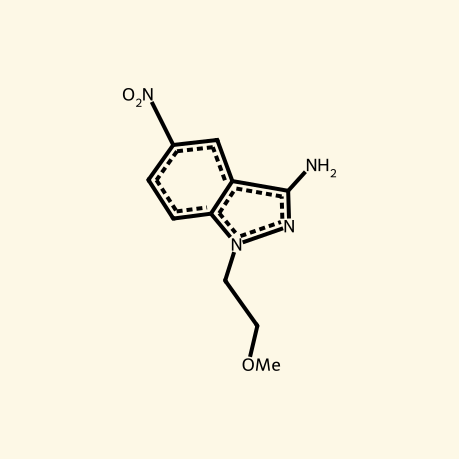 COCCn1nc(N)c2cc([N+](=O)[O-])ccc21